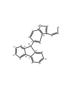 C/C=C\c1coc2ccc(-n3c4ccccc4c4ccccc43)cc12